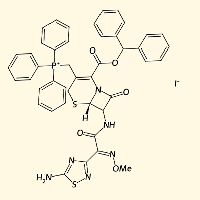 CON=C(C(=O)NC1C(=O)N2C(C(=O)OC(c3ccccc3)c3ccccc3)=C(C[P+](c3ccccc3)(c3ccccc3)c3ccccc3)CS[C@@H]12)c1nsc(N)n1.[I-]